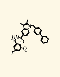 COc1cc(F)cc([C@H](C)NC(=O)c2ccc3c(c2)c(C)c(C)n3Cc2ccc(-c3ccccc3)cc2)c1